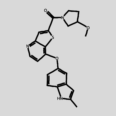 COC1CCN(C(=O)c2cc3nccc(Oc4ccc5[nH]c(C)cc5c4)c3s2)C1